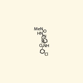 CNC(=O)Nc1cn2nc(NC(=O)c3cccc(Cl)c3)ccc2n1